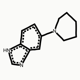 c1nc2cc(N3CCCCC3)ccc2[nH]1